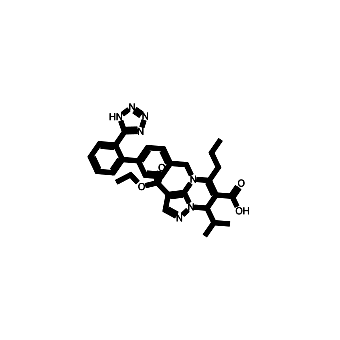 CCCC1=C(C(=O)O)C(C(C)C)n2ncc(C(=O)OCC)c2N1Cc1ccc(-c2ccccc2-c2nnn[nH]2)cc1